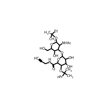 C#CCNC(=O)C1OC(OC2C(O)C(CO)OC(OC(C)(C)CC)C2NC(C)=O)C(O)C(O)C1OC(C)(C)CCC